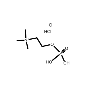 C[N+](C)(C)CCOP(=O)(O)O.Cl.[Cl-]